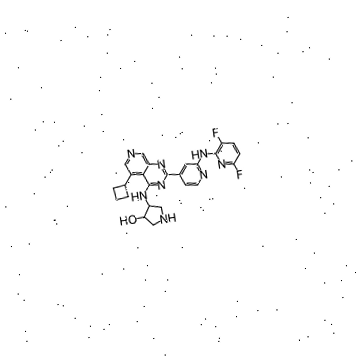 OC1CNCC1Nc1nc(-c2ccnc(Nc3nc(F)ccc3F)c2)nc2cncc(C3CCC3)c12